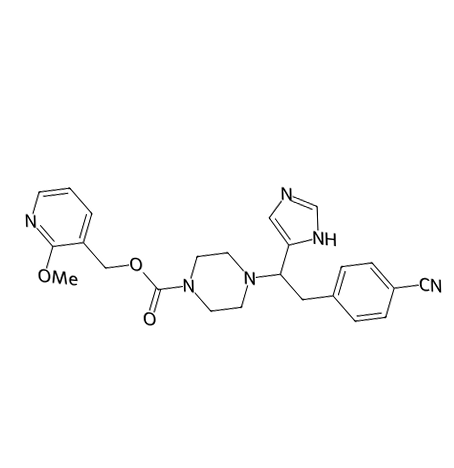 COc1ncccc1COC(=O)N1CCN(C(Cc2ccc(C#N)cc2)c2cnc[nH]2)CC1